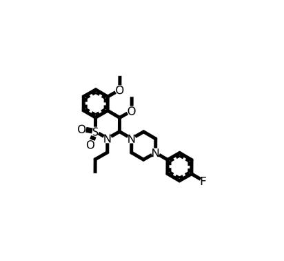 CCCN1C(N2CCN(c3ccc(F)cc3)CC2)C(OC)c2c(OC)cccc2S1(=O)=O